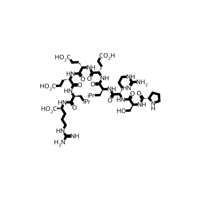 CC(C)C[C@H](NC(=O)[C@H](CCC(=O)O)NC(=O)[C@H](CCC(=O)O)NC(=O)[C@H](CCC(=O)O)NC(=O)[C@H](CC(C)C)NC(=O)[C@H](CCCNC(=N)N)NC(=O)[C@H](CO)NC(=O)[C@@H]1CCCN1)C(=O)N[C@@H](CCCNC(=N)N)C(=O)O